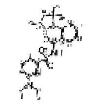 CCN(CC)c1cccc(S(=O)(=O)NC(=O)c2cccnc2N2CC(C)CC2(C)C)n1